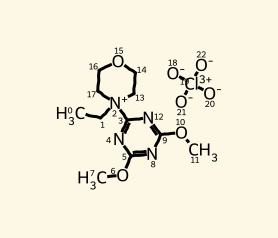 CC[N+]1(c2nc(OC)nc(OC)n2)CCOCC1.[O-][Cl+3]([O-])([O-])[O-]